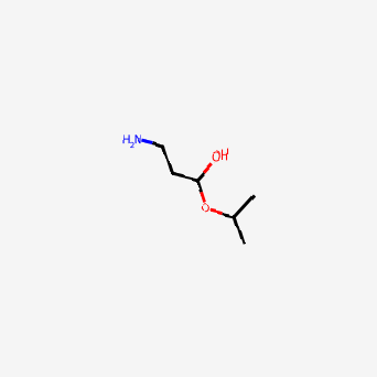 CC(C)OC(O)CCN